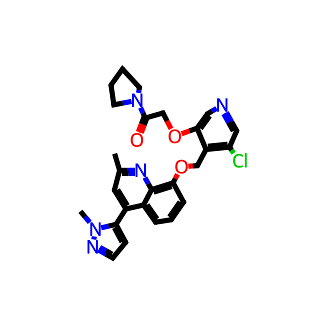 Cc1cc(-c2ccnn2C)c2cccc(OCc3c(Cl)cncc3OCC(=O)N3CCCC3)c2n1